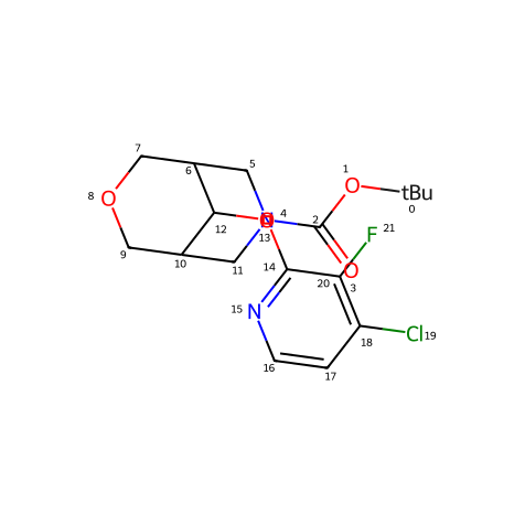 CC(C)(C)OC(=O)N1CC2COCC(C1)C2Oc1nccc(Cl)c1F